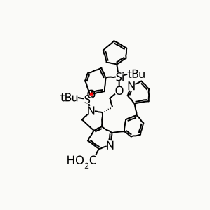 CC(C)(C)[S+]([O-])N1Cc2cc(C(=O)O)nc(-c3cccc(-c4cccnc4)c3)c2[C@H]1CCO[Si](c1ccccc1)(c1ccccc1)C(C)(C)C